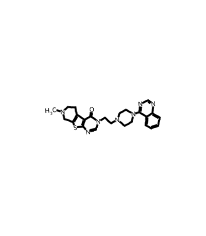 CN1CCc2c(sc3ncn(CCN4CCN(c5ncnc6ccccc56)CC4)c(=O)c23)C1